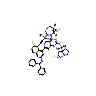 [2H]C([2H])(Oc1nc(N2CCOC[C@H]3[C@H](F)[C@H]32)c2cnc(-c3cc(N=C(c4ccccc4)c4ccccc4)cc4ccc(F)c(C#C[Si](C(C)C)(C(C)C)C(C)C)c34)c(F)c2n1)[C@@]12CCCN1C[C@H](F)C2